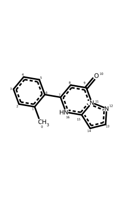 Cc1ccccc1-c1cc(=O)n2nccc2[nH]1